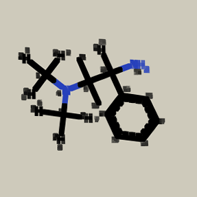 [2H]C([2H])([2H])N(C([2H])([2H])[2H])C(C)(C)C([2H])(N)c1ccccc1